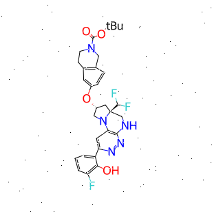 CC(C)(C)OC(=O)N1CCc2cc(O[C@H]3CN4c5cc(-c6cccc(F)c6O)nnc5NC[C@@]4(C(F)F)C3)ccc2C1